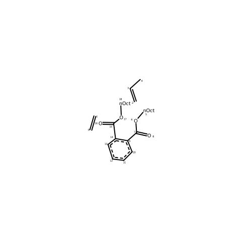 C=C.C=CC.CCCCCCCCOC(=O)c1ccccc1C(=O)OCCCCCCCC